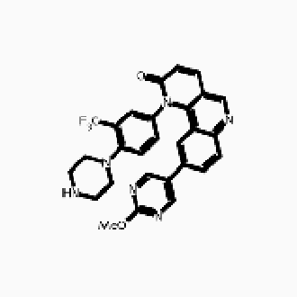 COc1ncc(-c2ccc3ncc4ccc(=O)n(-c5ccc(N6CCNCC6)c(C(F)(F)F)c5)c4c3c2)cn1